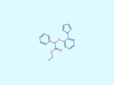 CCOC(=O)C(Oc1cccnc1-n1cccc1)c1ccccc1